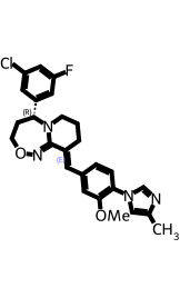 COc1cc(/C=C2\CCCN3C2=NOCC[C@@H]3c2cc(F)cc(Cl)c2)ccc1-n1cnc(C)c1